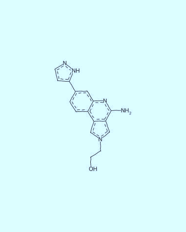 Nc1nc2cc(-c3ccn[nH]3)ccc2c2cn(CCO)cc12